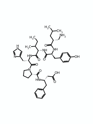 CCC(C)[C@H](NC(=O)[C@H](Cc1ccc(O)cc1)NC(=O)[C@@H](CN)CC(C)C)C(=O)N[C@@H](Cc1c[nH]cn1)C(=O)N1CCC[C@H]1C(=O)N[C@H](CC(=O)O)Cc1ccccc1